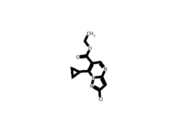 CCOC(=O)c1cnc2cc(Cl)nn2c1C1CC1